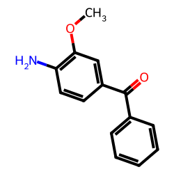 COc1cc(C(=O)c2ccccc2)ccc1N